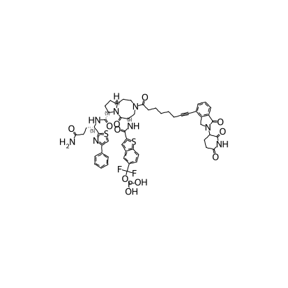 NC(=O)CC[C@H](NC(=O)[C@@H]1CC[C@@H]2CCN(C(=O)CCCCCC#Cc3cccc4c3CN(C3CCC(=O)NC3=O)C4=O)C[C@H](NC(=O)c3cc4cc(C(F)(F)OP(O)O)ccc4s3)C(=O)N21)c1nc(-c2ccccc2)cs1